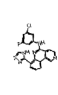 Fc1cc(Cl)cc(Nc2nc3c(-c4nnc[nH]4)cccc3c3cnccc23)c1